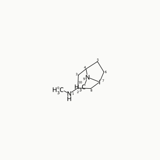 CNC1CC2CCI(C1)N2C